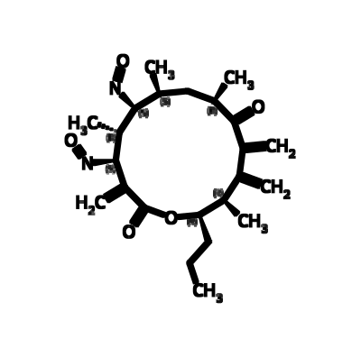 C=C1C(=C)[C@@H](C)[C@@H](CCC)OC(=O)C(=C)[C@@H](N=O)[C@H](C)[C@@H](N=O)[C@@H](C)C[C@@H](C)C1=O